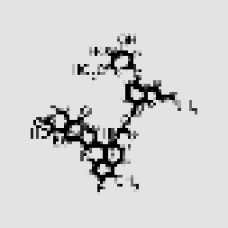 CC[C@]1(O)C(=O)OCc2c1cc1n(c2=O)Cc2c-1nc1cc(F)c(C)c3c1c2C(NC(=O)OCc1ccc(O[C@H]2C[C@@H](O)[C@H](O)[C@@H](C(=O)O)O2)c2cc(CN)sc12)CC3